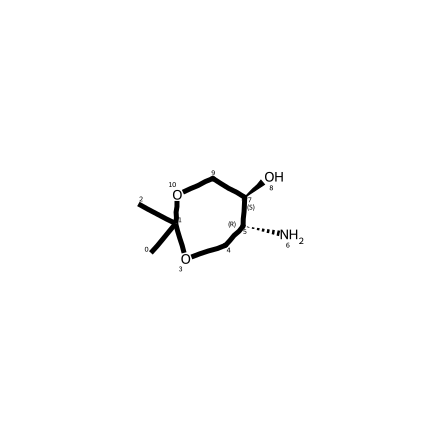 CC1(C)OC[C@@H](N)[C@H](O)CO1